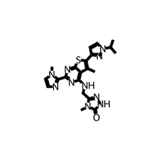 Cc1c(-c2ccn(C(C)C)n2)sc2nc(-c3nccn3C)nc(NCc3n[nH]c(=O)n3C)c12